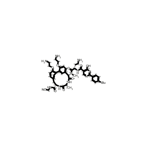 C[C@@H]1NC(=O)[C@@H](N(C)C(=O)[C@H](CCN)NC(=O)c2cnc(-c3ccc(C(C)(C)C)cc3)nc2O)c2ccc(OCCN)c(c2)-c2cc(ccc2OCCN)C[C@@H](C(=O)NCC#N)NC1=O